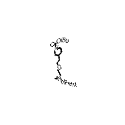 CCCCCN(C)CCOCCC1CCN(C(=O)OCC(C)C)CC1